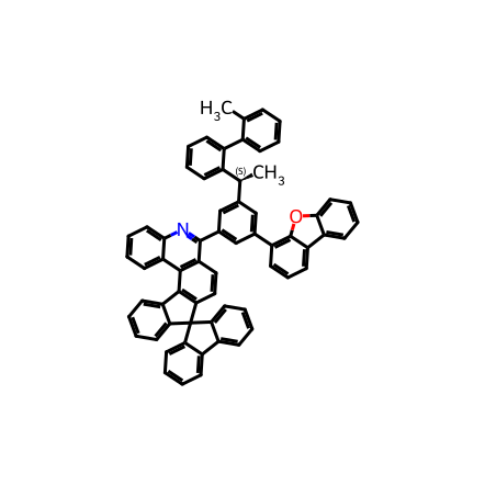 Cc1ccccc1-c1ccccc1[C@@H](C)c1cc(-c2nc3ccccc3c3c4c(ccc23)C2(c3ccccc3-c3ccccc32)c2ccccc2-4)cc(-c2cccc3c2oc2ccccc23)c1